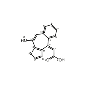 O=C(O)C=C1c2ccccc2C=C(O)c2sccc21